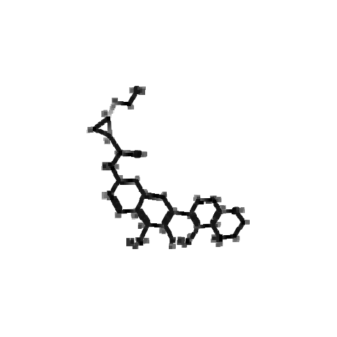 Cc1c(-c2cc3cc(NC(=O)C4C[C@@H]4CCO)ncc3c(N)c2F)cnc2c1NCCO2